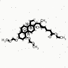 CCOC(=O)CC/C=C/[C@@H](C)[C@H]1CC[C@H]2[C@@H]3CC=C4C[C@@H](OCOC)C[C@H](OCOC)[C@]4(C)[C@H]3CC[C@]12C